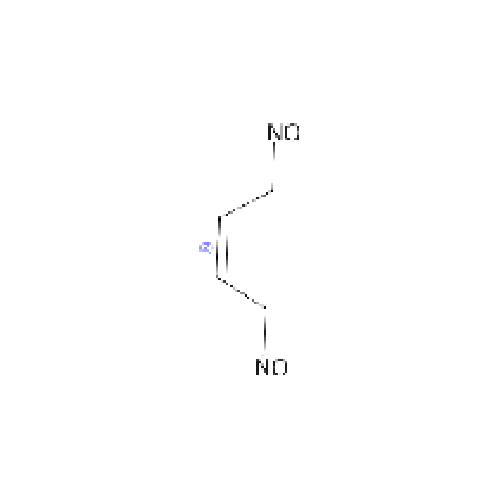 O=NC/C=C\CN=O